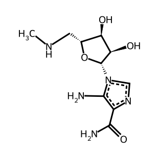 CNC[C@H]1O[C@@H](n2cnc(C(N)=O)c2N)[C@H](O)[C@@H]1O